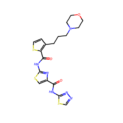 O=C(Nc1nncs1)c1csc(NC(=O)c2sccc2CCCN2CCOCC2)n1